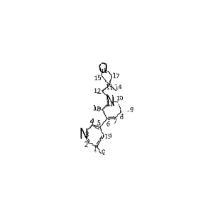 Cc1cncc(C2=C[C@@H](C)CN(CC3(C)COC3)C2)c1